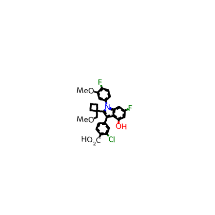 COCC1(c2c(-c3ccc(C(=O)O)c(Cl)c3)c3c(O)cc(F)cc3n2-c2ccc(F)c(OC)c2)CCC1